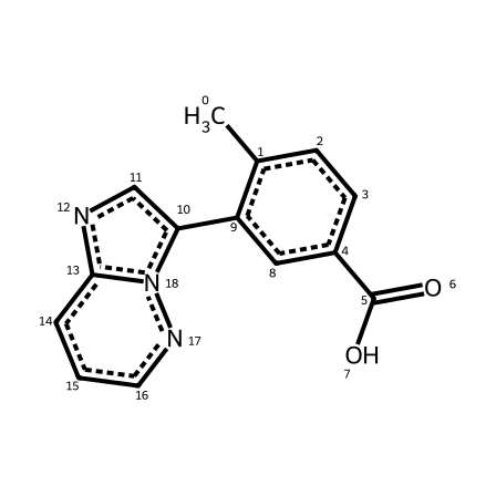 Cc1ccc(C(=O)O)cc1-c1cnc2cccnn12